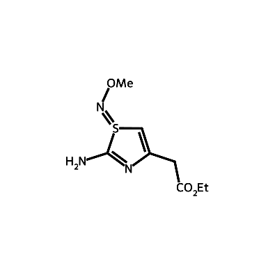 CCOC(=O)CC1=CS(=NOC)C(N)=N1